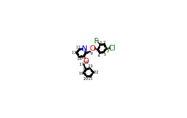 Fc1cc(Cl)ccc1OCc1ncccc1OCc1ccccc1